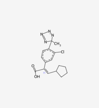 CC1(c2ccc(/C(=C\C3CCCC3)C(=O)O)cc2Cl)N=NN=N1